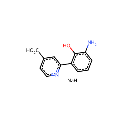 Nc1cccc(-c2cc(C(=O)O)ccn2)c1O.[NaH]